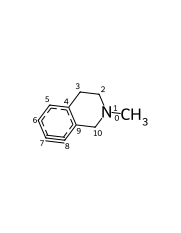 CN1CCc2ccc#cc2C1